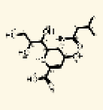 CC(C)CC(=O)N[C@@H]1C(O)C=C(C(=O)O)OC1C(O)C(O)CO